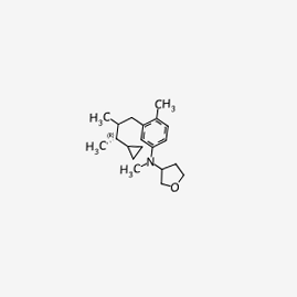 Cc1ccc(N(C)C2CCOC2)cc1CC(C)[C@@H](C)C1CC1